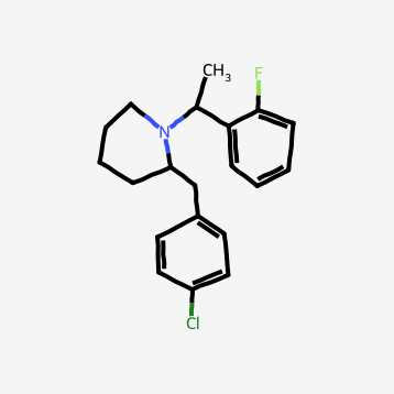 CC(c1ccccc1F)N1CCCCC1Cc1ccc(Cl)cc1